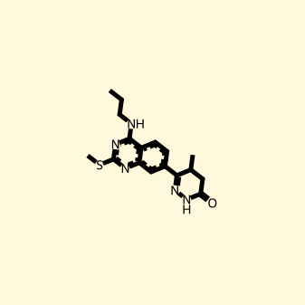 CCCNc1nc(SC)nc2cc(C3=NNC(=O)CC3C)ccc12